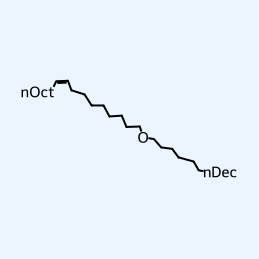 CCCCCCCC/C=C\CCCCCCCCOCCCCCCCCCCCCCCCC